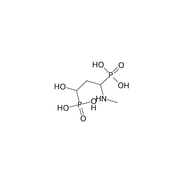 CNC(CC(O)P(=O)(O)O)P(=O)(O)O